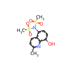 Cc1ccc2c(N(S(C)(=O)=O)S(C)(=O)=O)ccc(O)c2n1